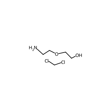 ClCCl.NCCOCCO